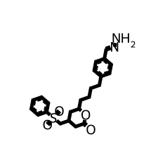 NN=Cc1ccc(CCCCC2CC(CS(=O)(=O)c3ccccc3)CC(=O)O2)cc1